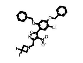 O=[N+]([O-])c1c(CN2CC(F)(F)C2)noc1-c1cc(Cl)c(OCc2ccccc2)cc1OCc1ccccc1